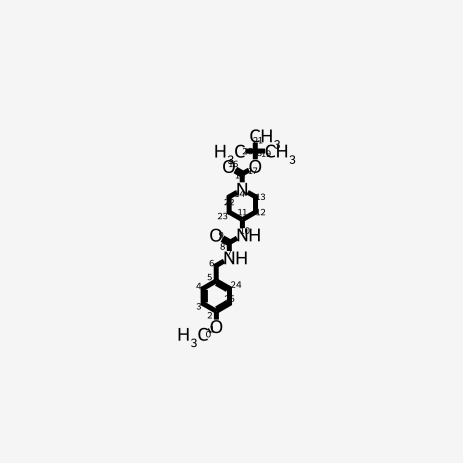 COc1ccc(CNC(=O)NC2CCN(C(=O)OC(C)(C)C)CC2)cc1